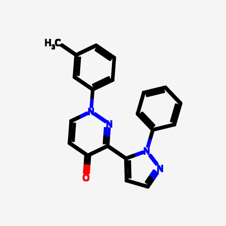 Cc1cccc(-n2ccc(=O)c(-c3ccnn3-c3ccccc3)n2)c1